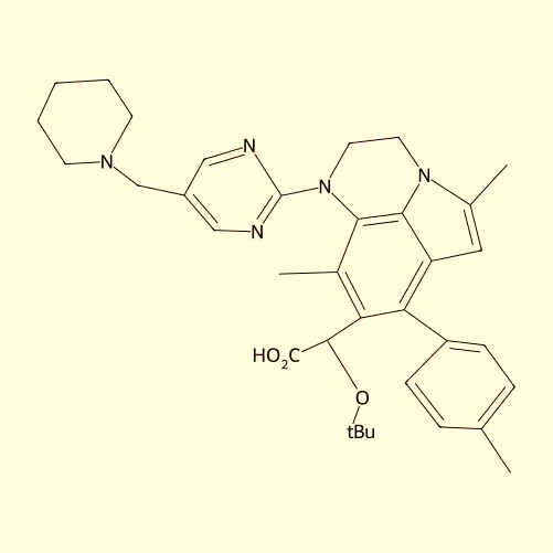 Cc1ccc(-c2c(C(OC(C)(C)C)C(=O)O)c(C)c3c4c2cc(C)n4CCN3c2ncc(CN3CCCCC3)cn2)cc1